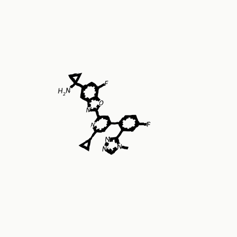 Cn1cnnc1-c1cc(F)ccc1-c1cc(-c2nc3cc(C4(N)CC4)cc(F)c3o2)nc(C2CC2)c1